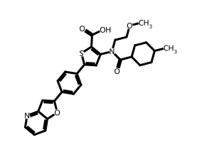 COCCN(C(=O)C1CCC(C)CC1)c1cc(-c2ccc(-c3cc4ncccc4o3)cc2)sc1C(=O)O